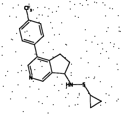 FC(F)(F)c1ccc(-c2cncc3c2CCC3NSC2CC2)cc1